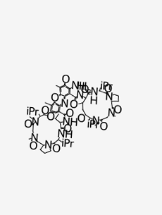 Cc1c2oc3c(C)ccc(C(=O)NC4C(=O)NC(C(C)C)C(=O)N5CCCC5C(=O)N(C)CC(=O)N(C)C(C(C)C)C(=O)OC4C)c3nc-2c(C(=O)NC2C(=O)NC(C(C)C)C(=O)N3CCCC3C(=O)N(C)CC(=O)N(C)C(C(C)C)C(=O)CC2C)c(N)c1=O